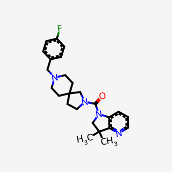 CC1(C)CN(C(=O)N2CCC3(CCN(Cc4ccc(F)cc4)CC3)C2)c2cccnc21